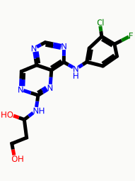 OCCC(O)Nc1ncc2ncnc(Nc3ccc(F)c(Cl)c3)c2n1